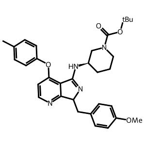 COc1ccc(CC2N=C(N[C@@H]3CCCN(C(=O)OC(C)(C)C)C3)c3c(Oc4ccc(C)cc4)ccnc32)cc1